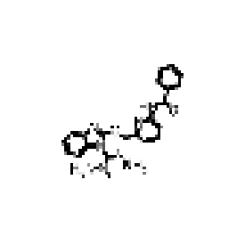 CN(N)/C(=N\N)n1c(OCc2cccc(NC(=O)c3ccccc3)n2)nc2ccccc21